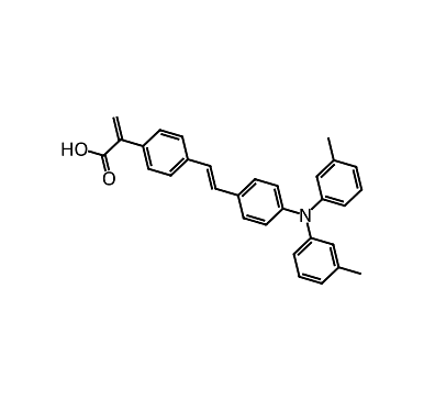 C=C(C(=O)O)c1ccc(C=Cc2ccc(N(c3cccc(C)c3)c3cccc(C)c3)cc2)cc1